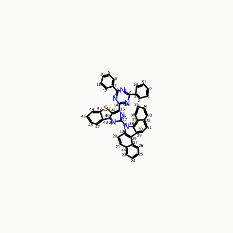 c1ccc(-c2nc(-c3ccccc3)nc(-c3nc(-n4c5ccc6ccccc6c5c5ccc6ccccc6c54)nc4c3sc3ccccc34)n2)cc1